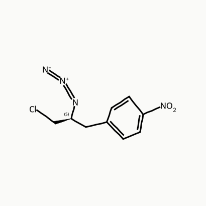 [N-]=[N+]=N[C@H](CCl)Cc1ccc([N+](=O)[O-])cc1